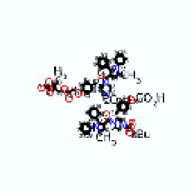 Cc1cc(C(=O)N2CCN(C(=O)OC(C)(C)C)C[C@H]2Cc2ccc(OCC(=O)O)cc2)c(-c2ccccc2)n1-c1ccccc1.Cc1oc(=O)oc1COC(=O)COc1ccc(C[C@@H]2CN(C(=O)O)CCN2C(=O)c2cc(C)n(-c3ccccc3)c2-c2ccccc2)cc1